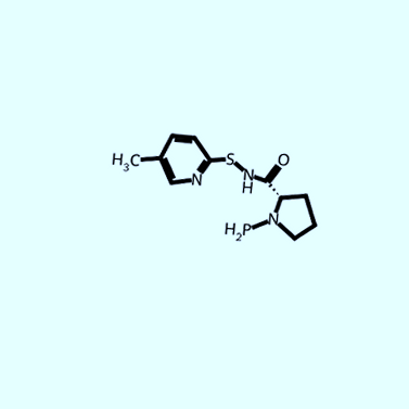 Cc1ccc(SNC(=O)[C@@H]2CCCN2P)nc1